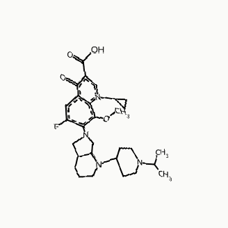 COc1c(N2CC3CCCN(C4CCN(C(C)C)CC4)C3C2)c(F)cc2c(=O)c(C(=O)O)cn(C3CC3)c12